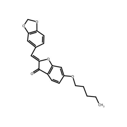 CCCCCOc1ccc2c(c1)OC(=Cc1ccc3c(c1)OCO3)C2=O